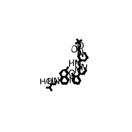 Cc1ccc2c(NC[C@@H](O)C(C)C)cccc2c1Oc1ncccc1-c1ccnc(NC2CCCN(C(=O)OC(C)(C)C)C2)n1